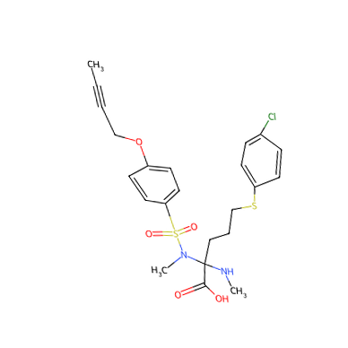 CC#CCOc1ccc(S(=O)(=O)N(C)C(CCCSc2ccc(Cl)cc2)(NC)C(=O)O)cc1